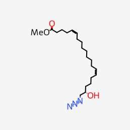 COC(=O)CCC/C=C\CCCCCCC/C=C\CCC[C@H](O)CN=[N+]=[N-]